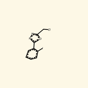 ClCc1nnc(-c2ccccc2I)o1